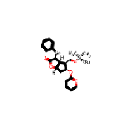 CC(C)(C)[Si](C)(C)OC[C@@H]1[C@@H]2[C@H](C[C@H]1OC1CCCCO1)OC(=O)[C@H]2[Se]c1ccccc1